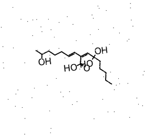 CCCCCC(O)(O)C=C(C=CCCCC(C)O)C(=O)O